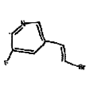 Fc1[c]ncc(C=CBr)c1